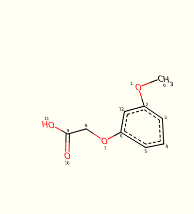 COc1c[c]cc(OCC(=O)O)c1